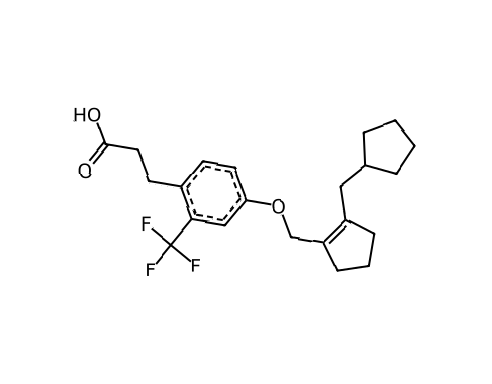 O=C(O)CCc1ccc(OCC2=C(CC3CCCC3)CCC2)cc1C(F)(F)F